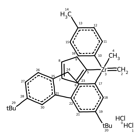 Cl.Cl.[CH2]=[Zr]([CH3])([C]1=CC=CC1)([c]1ccc(C)cc1)[c]1cc(C(C)(C)C)cc2c1Cc1ccc(C(C)(C)C)cc1-2